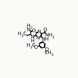 CCC(Nc1cnc(C(N)=O)c(Nc2cc(OC)cc(OC)c2)n1)C(N)=O